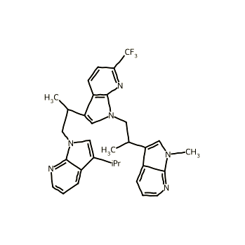 CC(C)c1cn(CC(C)c2cn(CC(C)c3cn(C)c4ncccc34)c3nc(C(F)(F)F)ccc23)c2ncccc12